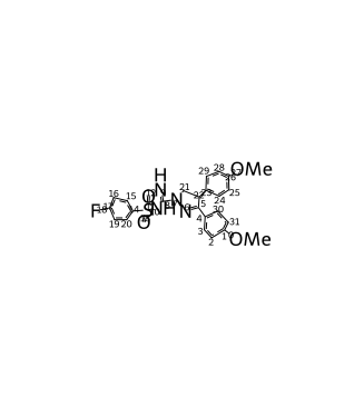 COc1ccc(C2=NN(C(=N)NS(=O)(=O)c3ccc(F)cc3)CC2c2ccc(OC)cc2)cc1